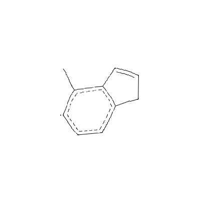 Cc1[c]ccc2c1C=CC2